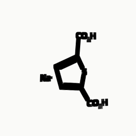 O=C(O)c1ccc(C(=O)O)s1.[Na]